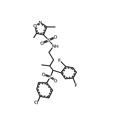 Cc1noc(C)c1S(=O)(=O)NCCC(C)C(c1cc(F)ccc1F)S(=O)(=O)c1ccc(Cl)cc1